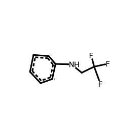 FC(F)(F)CNc1[c]cccc1